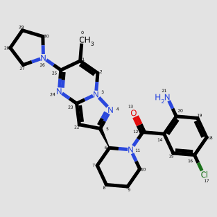 Cc1cn2nc([C@@H]3CCCCN3C(=O)c3cc(Cl)ccc3N)cc2nc1N1CCCC1